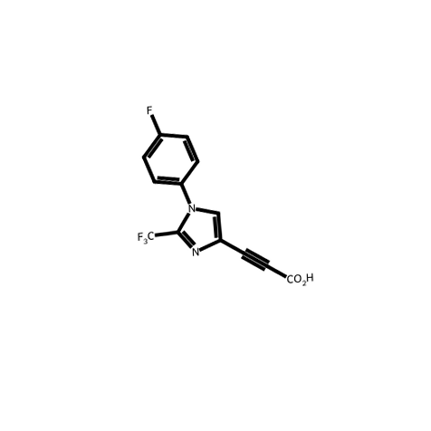 O=C(O)C#Cc1cn(-c2ccc(F)cc2)c(C(F)(F)F)n1